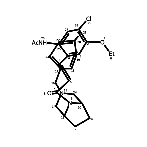 CCOc1cc(C=CC(=O)N2C3CCC2CN(Cc2ccc(F)cc2)C3)c(NC(C)=O)cc1Cl